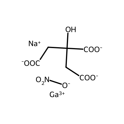 O=C([O-])CC(O)(CC(=O)[O-])C(=O)[O-].O=[N+]([O-])[O-].[Ga+3].[Na+]